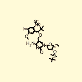 CC[C@H]1O[C@@H](n2cc(CO[C@H](c3cc(OC)c(I)cc3[N+](=O)[O-])C(C)(C)C)c(N)nc2=O)C[C@H]1O[Si](C)(C)C(C)(C)C